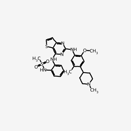 COc1cc(C2CCN(C)CC2)c(C)cc1Nc1nc(Nc2ccccc2NS(C)(=O)=O)c2sccc2n1